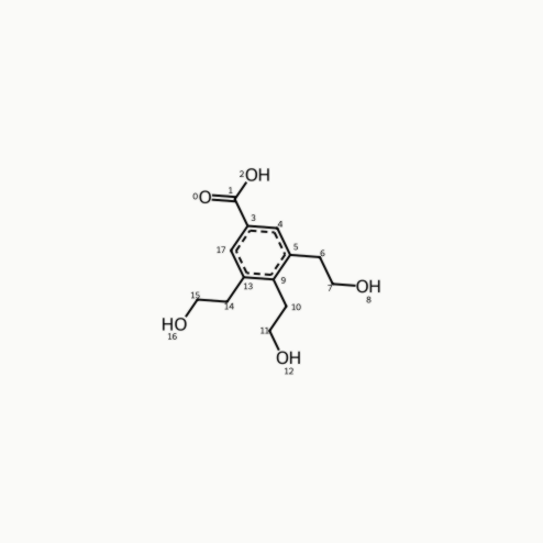 O=C(O)c1cc(CCO)c(CCO)c(CCO)c1